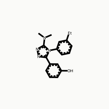 CCc1cccc(-n2c(-c3cccc(O)c3)nnc2N(C)C)c1